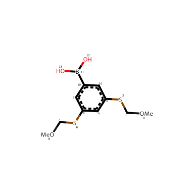 COCSc1cc(SCOC)cc(B(O)O)c1